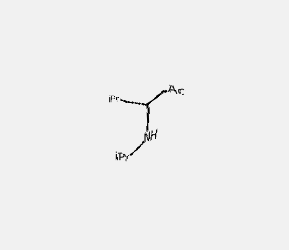 CC(=O)C(NC(C)C)C(C)C